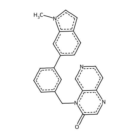 Cn1ccc2ccc(-c3cccc(Cn4c(=O)cnc5ccncc54)c3)cc21